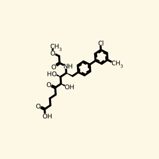 COCC(=O)N[C@@H](Cc1ccc(-c2cc(C)cc(Cl)c2)cc1)[C@H](O)[C@@H](O)C(=O)CCCC(=O)O